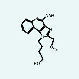 CCOCc1nc2c(NC)nc3ccccc3c2n1CCCCO